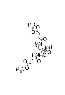 COC(=O)CCC(=O)NCC(C=O)(CNC(=O)CCC(=O)OC)P(=O)(O)O